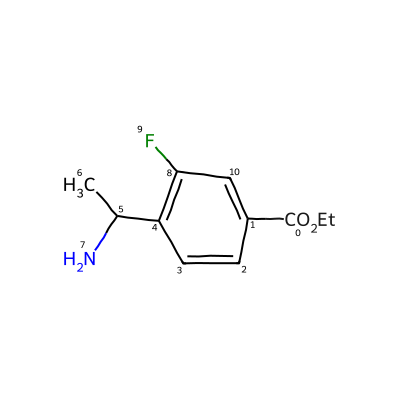 CCOC(=O)c1ccc(C(C)N)c(F)c1